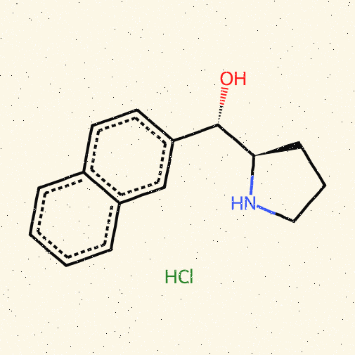 Cl.O[C@@H](c1ccc2ccccc2c1)[C@H]1CCCN1